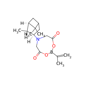 C=C(C)B1OC(=O)CN([C@@H]2CC3C[C@H]([C@H]2C)C3(C)C)CC(=O)O1